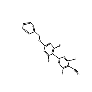 N#Cc1c(F)cc(-c2c(F)cc(OCc3ccccc3)cc2F)cc1F